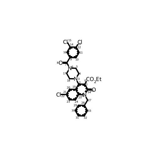 CCOC(=O)c1c(N2CCN(C(=O)c3ccc(Cl)c(Cl)c3)CC2)c2cc(Cl)ccc2n(Cc2ccccc2)c1=O